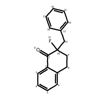 O=C1c2ccccc2CCC1(F)Cc1ccccc1